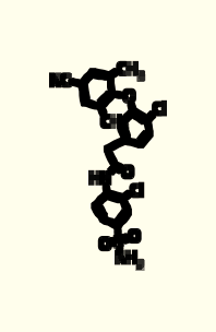 Cc1cc(C#N)cc(C)c1Oc1cc(CC(=O)Nc2ccc(S(N)(=O)=O)cc2Cl)ccc1Cl